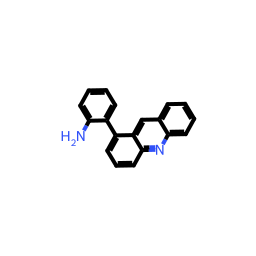 Nc1ccccc1-c1cccc2nc3ccccc3cc12